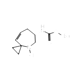 CC(C)(C)OC(=O)N[C@H]1CC=CC2(CC2)N(Cl)C1